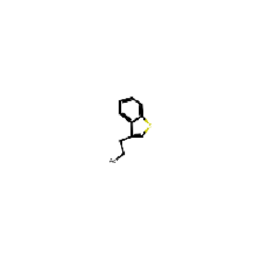 CC(=O)CCc1csc2ccccc12